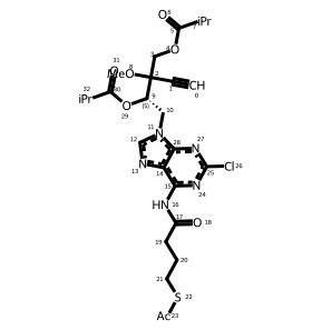 C#CC(COC(=O)C(C)C)(OC)[C@H](Cn1cnc2c(NC(=O)CCCSC(C)=O)nc(Cl)nc21)OC(=O)C(C)C